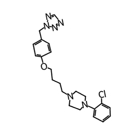 Clc1ccccc1N1CCN(CCCCOc2ccc(Cn3ncnn3)cc2)CC1